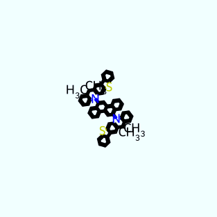 CC1(C)c2ccccc2N(c2cc3c4ccccc4c(N4c5ccccc5C(C)(C)c5cc6c(cc54)sc4ccccc46)cc3c3ccccc23)c2cc3sc4ccccc4c3cc21